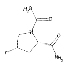 BC(=O)N1C[C@@H](F)C[C@H]1C(N)=O